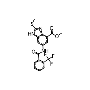 COC(=O)c1cc(NC(=O)c2ccccc2C(F)(F)F)cc2[nH]c(SC)nc12